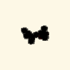 c1ccc(-c2nc(-c3ccc(-c4ccc5c(c4)C4(c6ccccc6-c6ccccc64)c4ccccc4N5c4ccccc4)cc3)cc(-c3ccc(-c4ccccc4)c4ccccc34)n2)cc1